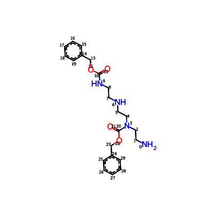 NCCN(CCNCCNC(=O)OCc1ccccc1)C(=O)OCc1ccccc1